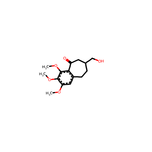 COc1cc2c(c(OC)c1OC)C(=O)CC(CO)CC2